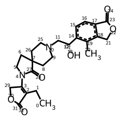 CCC1=C(N2CCC3(CCN(C[C@@H](O)c4ccc5c(c4C)COC5=O)CC3)C2=O)COC1=O